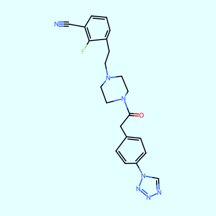 N#Cc1cccc(CCN2CCN(C(=O)Cc3ccc(-n4cnnn4)cc3)CC2)c1F